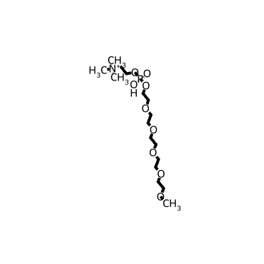 COCCOCCOCCOCCOCCOP(=O)(O)OCC[N+](C)(C)C